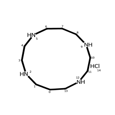 C1CNCCNCCCNCCNC1.Cl